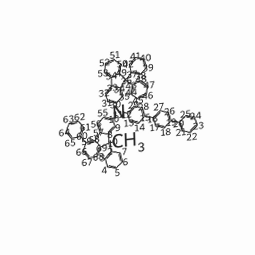 CC1(c2ccccc2)c2cc(N(c3ccc(-c4ccc(-c5ccccc5)cc4)cc3)c3ccc4c(c3)C(c3ccccc3)(c3ccccc3)c3ccccc3-4)ccc2-c2c(-c3ccccc3)cccc21